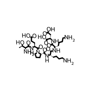 C[C@@H](O)[C@H](N)C(=O)N[C@@H](CCC(=O)O)C(=O)N1CCC[C@H]1C(=O)N[C@@H](CCCCN)C(=O)N[C@@H](CCCCN)C(=O)N[C@@H](CC(=O)O)C(=O)O